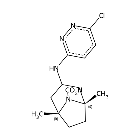 C[C@]12CC[C@](C)(CC(Nc3ccc(Cl)nn3)C1)N2C(=O)O